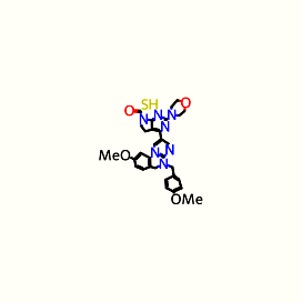 COc1ccc(CN(Cc2ccc(OC)cc2)c2ncc(-c3nc(N4CCOCC4)nc4c3CCN4C(=O)S)cn2)cc1